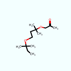 CCC(C)(C)OCCC(C)(C)OCC(C)=O